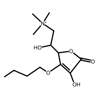 CCCCOC1=C(O)C(=O)OC1C(O)C[N+](C)(C)C